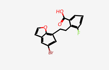 O=C(O)c1cccc(F)c1CCc1cc(Br)cc2ccoc12